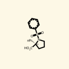 CCC[C@@]1(C(=O)O)CCCN1S(=O)(=O)c1ccccc1